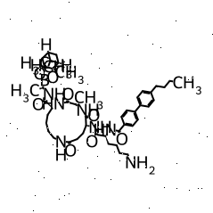 CCCCc1ccc(-c2ccc(C(=O)N[C@@H](CCCCN)C(=O)N[C@H]3CCC(=O)NCCCC[C@@H](C(=O)N[C@@H](C)B4O[C@@H]5C[C@@H]6C[C@@H](C6(C)C)[C@]5(C)O4)NC(=O)[C@H](C)NC3=O)cc2)cc1